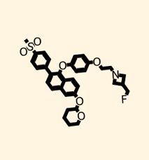 CS(=O)(=O)c1ccc(-c2ccc3cc(OC4CCCCO4)ccc3c2Oc2ccc(OCCN3CC(CF)C3)cc2)cc1